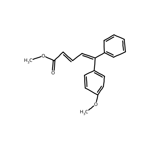 COC(=O)/C=C/C=C(/c1ccccc1)c1ccc(OC)cc1